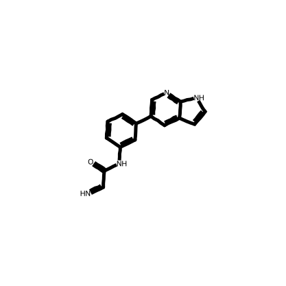 N=CC(=O)Nc1cccc(-c2cnc3[nH]ccc3c2)c1